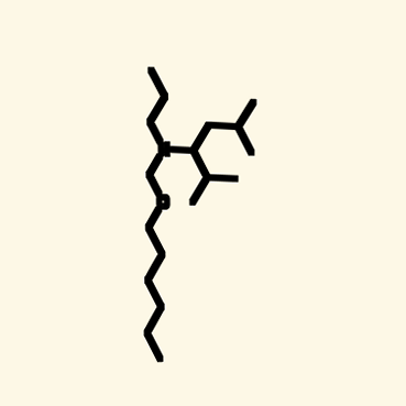 CCCCCCOCN(CCC)C(CC(C)C)C(C)C